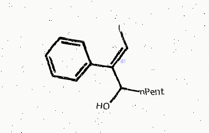 CCCCCC(O)/C(=C/I)c1ccccc1